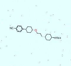 CCCCCC[C@H]1CC[C@H](CCCO[C@H]2CC[C@H](c3ccc(C#N)cc3)CC2)CC1